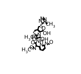 CO/N=C(\C(=O)NC1(OC)C(=O)N2C(C(=O)O)=C(CSc3nnnn3C)CS[C@@H]21)c1cccc(NC=O)n1